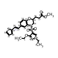 CCOc1nn(CC)cc1S(=O)(=O)N1CC(CCC(=O)OC)Oc2ccc(/C=C/c3cccs3)cc21